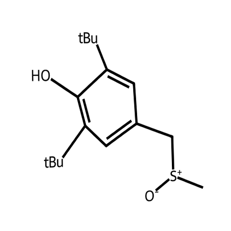 C[S+]([O-])Cc1cc(C(C)(C)C)c(O)c(C(C)(C)C)c1